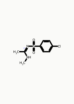 CN/C(C)=N\S(=O)(=O)c1ccc(Cl)cc1